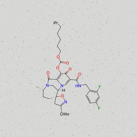 COC1=NO[C@@]2(CC[C@H](C)N3C[C@H]2n2cc(C(=O)NCc4ccc(F)cc4F)c(=O)c(OC(=O)OCCCCCC(C)C)c2C3=O)C1